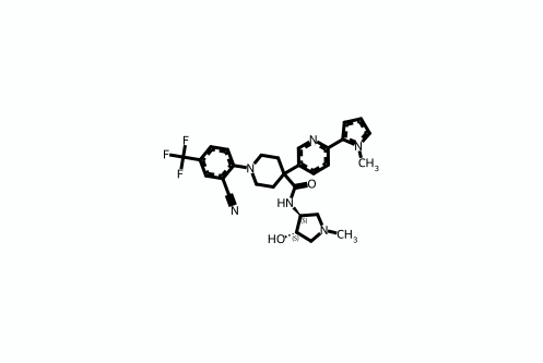 CN1C[C@H](NC(=O)C2(c3ccc(-c4cccn4C)nc3)CCN(c3ccc(C(F)(F)F)cc3C#N)CC2)[C@@H](O)C1